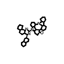 c1ccc2cc(-c3nc(-n4c5ccc6oc7ccc8c9ccccc9n9c%10cccc4c%10c5c6c7c89)nc4c3ccc3ccccc34)ccc2c1